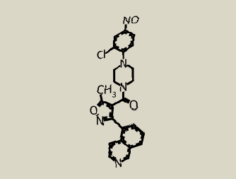 Cc1onc(-c2cccc3cnccc23)c1C(=O)N1CCN(c2ccc(N=O)cc2Cl)CC1